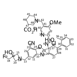 COc1cc(C(=O)NC2(c3nc4cc(CN5CC(O)(CF)C5)cc(C#N)c4o3)C=CC=C(c3ccccc3C)C2Cl)ncc1CN1CCCC[C@H]1C(=O)O